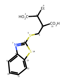 CCC(C(=O)O)C(CSc1nc2ccccc2s1)C(=O)O